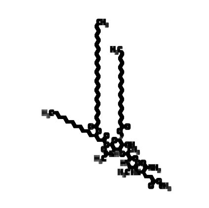 CCCCCCCCCCCCCCCCCCCCCCCC(=O)O[C@H](CCCCCCCCCCC)CC(=O)O[C@H]1O[C@H](COC(=O)CCCCCCCCCCCCCCCCC)[C@@H](O)[C@@H](OC(C)C(=O)N[C@@H](C)C(=O)N[C@H](CCC(=O)OC)C(N)=O)[C@H]1NC(C)=O